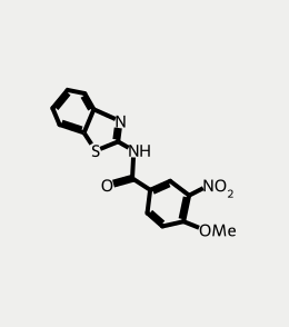 COc1ccc(C(=O)Nc2nc3ccccc3s2)cc1[N+](=O)[O-]